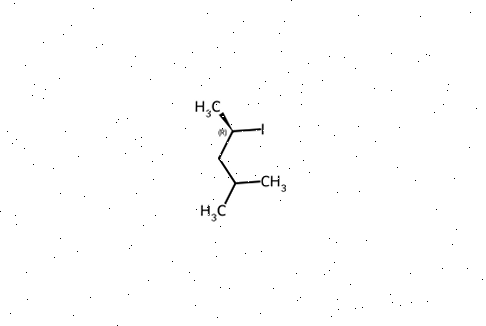 CC(C)C[C@@H](C)I